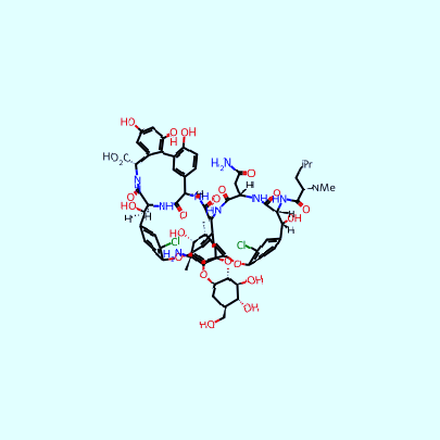 CN[C@H](CC(C)C)C(=O)N[C@H]1C(=O)N[C@@H](CC(N)=O)C(=O)NC2C(=O)N[C@H]3C(=O)N[C@H](C(=O)N[C@H](C(=O)O)c4cc(O)cc(O)c4-c4cc3ccc4O)[C@H](O)c3ccc(c(Cl)c3)Oc3cc2cc(c3O[C@@H]2C[C@H](CO)[C@@H](O)[C@H](O)[C@H]2O[C@@H]2C[C@@H](C)[C@@H](O)[C@@](C)(N)C2)Oc2ccc(cc2Cl)[C@H]1O